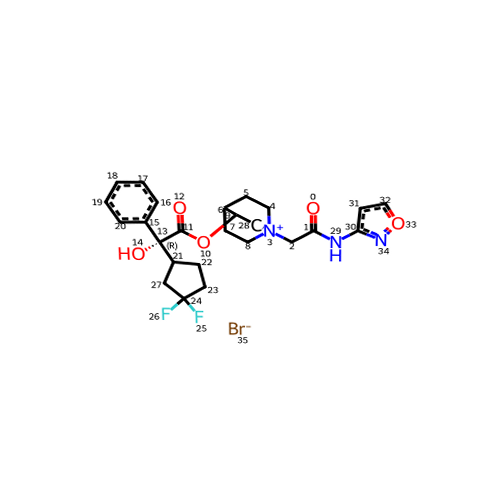 O=C(C[N+]12CCC(CC1)C(OC(=O)[C@](O)(c1ccccc1)C1CCC(F)(F)C1)C2)Nc1ccon1.[Br-]